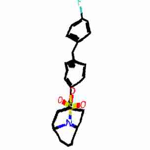 O=C1CC2CCC(C1)N2S(=O)(=O)c1ccc(-c2ccc(F)cc2)cc1